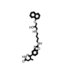 CC1CC(=O)NN=C1c1ccc2oc(NCCCCNCC(O)COc3cccc4ccccc34)nc2c1